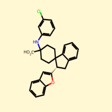 O=C(O)C1(Nc2cccc(Cl)c2)CCC2(CC1)c1ccccc1C[C@@H]2c1cc2ccccc2o1